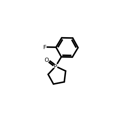 O=P1(c2ccccc2F)CCCC1